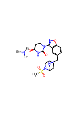 CCN(CC)CC.CS(=O)(=O)N1CC2CCC1CN2Cc1ccc2onc(N3CCC(=O)NC3=O)c2c1